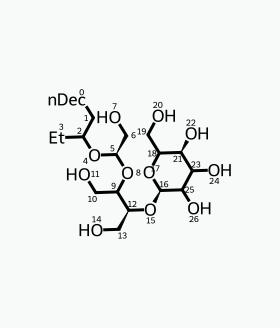 CCCCCCCCCCCC(CC)O[C@@H](CO)OC(CO)[C@H](CO)O[C@H]1OC(CO)[C@@H](O)C(O)C1O